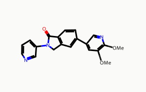 COc1cc(-c2ccc3c(c2)CN(c2cccnc2)C3=O)cnc1OC